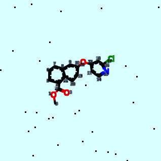 COC(=O)c1cccc2cc(Oc3ccnc(Cl)c3)ccc12